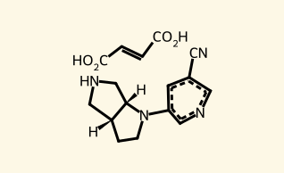 N#Cc1cncc(N2CC[C@@H]3CNC[C@@H]32)c1.O=C(O)/C=C/C(=O)O